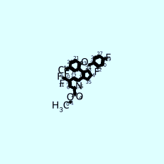 CCOC(=O)c1cc(C(F)(F)F)cc(C2=C(c3cc(Cl)ccc3OCc3ccc(F)cc3F)CCC2)n1